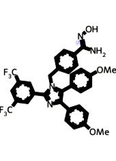 COc1ccc(-c2nc(-c3cc(C(F)(F)F)cc(C(F)(F)F)c3)n(Cc3ccc(/C(N)=N/O)cc3)c2-c2ccc(OC)cc2)cc1